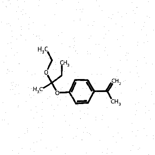 C=C(C)c1ccc(OC(C)(CC)OCC)cc1